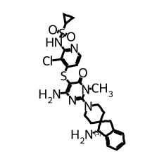 Cn1c(N2CCC3(CC2)Cc2ccccc2[C@H]3N)nc(N)c(Sc2ccnc(NS(=O)(=O)C3CC3)c2Cl)c1=O